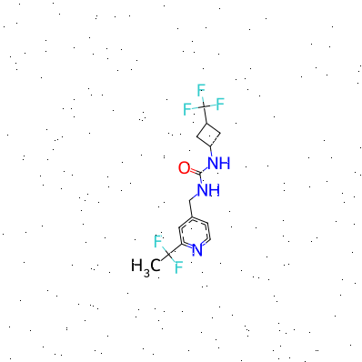 CC(F)(F)c1cc(CNC(=O)NC2CC(C(F)(F)F)C2)ccn1